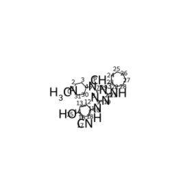 CN1CCC(N(C)c2nc(Nc3ccc(O)c(C#N)c3)nc(NC3CCCCCC3)n2)CC1